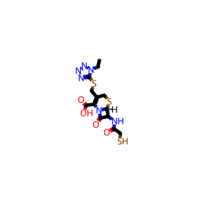 CCn1nnnc1SCC1=C(C(=O)O)N2C(=O)C(NC(=O)CS)[C@@H]2SC1